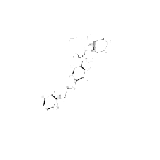 O=C(O)[C@@H]1CCCC[C@H]1CS(=O)(=O)c1ccc(SCCc2ccccn2)cc1